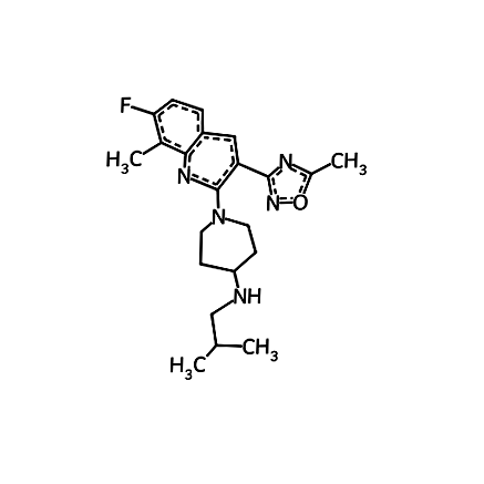 Cc1nc(-c2cc3ccc(F)c(C)c3nc2N2CCC(NCC(C)C)CC2)no1